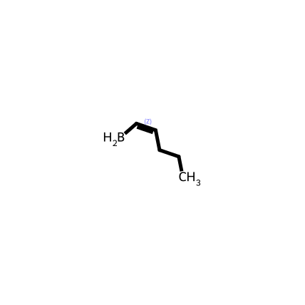 B/C=C\CCC